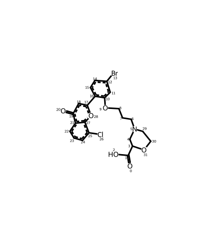 O=C(O)C1CN(CCCOc2cc(Br)ccc2-c2cc(=O)c3cccc(Cl)c3o2)CCO1